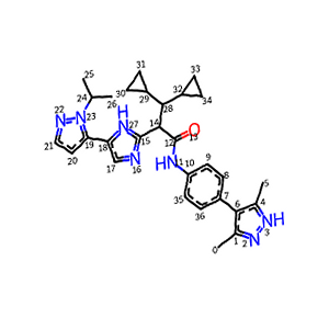 Cc1n[nH]c(C)c1-c1ccc(NC(=O)C(c2ncc(-c3ccnn3C(C)C)[nH]2)C(C2CC2)C2CC2)cc1